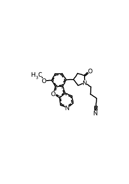 COc1ccc(C2CC(=O)N(CCCC#N)C2)c2c1oc1cnccc12